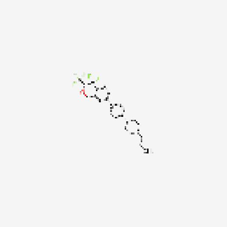 CCC[C@H]1CC[C@H](c2ccc(-c3cc(F)c4c(c3)COC(C(F)(F)F)C4(F)F)cc2)CC1